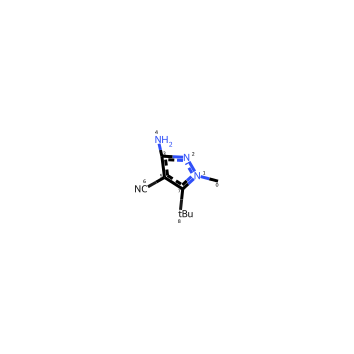 Cn1nc(N)c(C#N)c1C(C)(C)C